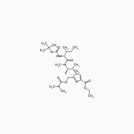 CCOC(=O)c1csc([C@@H](C[C@H](C(C)C)N(C)C(=O)[C@@H](NC(=O)OC(C)(C)C)C(C)CC)OC(=O)N(C)C)n1